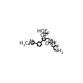 CCn1cc(-c2cccc(-c3csc(Cn4cnn(CC(CN)=C(F)F)c4=O)c3)c2)cn1.O=C(O)C(F)(F)F